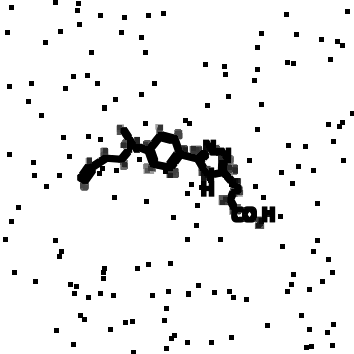 C#CCCN(C)c1ccc(-c2nnc(SCC(=O)O)[nH]2)cc1